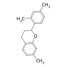 Cc1ccc(C2CCc3ccc(C)cc3O2)c(C)c1